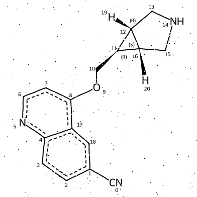 N#Cc1ccc2nccc(OC[C@H]3[C@@H]4CNC[C@@H]43)c2c1